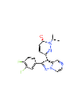 CC(C)n1nc(-c2c(-c3ccc(F)c(F)c3)nn3ccncc23)ccc1=O